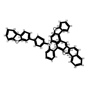 c1ccc(N(c2ccc(-c3ccc4c(c3)oc3ccccc34)cc2)c2ccc3c(c2)oc2ccccc23)c(-c2cccc3c2oc2c4ccccc4ccc32)c1